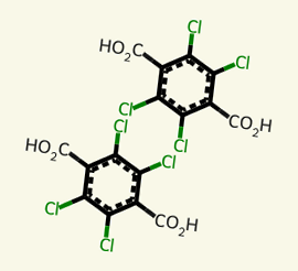 O=C(O)c1c(Cl)c(Cl)c(C(=O)O)c(Cl)c1Cl.O=C(O)c1c(Cl)c(Cl)c(C(=O)O)c(Cl)c1Cl